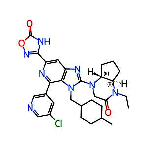 CCN1C(=O)CN(c2nc3cc(-c4noc(=O)[nH]4)nc(-c4cncc(Cl)c4)c3n2CC2CCC(C)CC2)[C@@H]2CCC[C@H]21